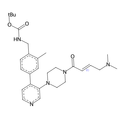 Cc1cc(-c2ccncc2N2CCN(C(=O)/C=C/CN(C)C)CC2)ccc1CNC(=O)OC(C)(C)C